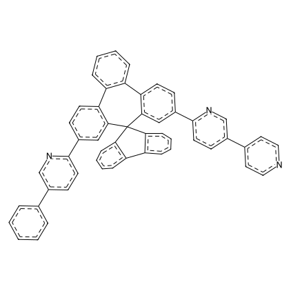 c1ccc(-c2ccc(-c3ccc4c(c3)C3(c5cc(-c6ccc(-c7ccncc7)cn6)ccc5-c5ccccc5-4)c4ccccc4-c4ccccc43)nc2)cc1